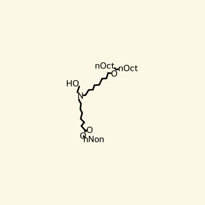 CCCCCCCCCOC(=O)CCCCCCCN(CCO)CCCCCCCCOC(CCCCCCCC)CCCCCCCC